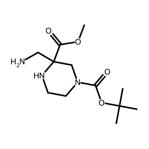 COC(=O)C1(CN)CN(C(=O)OC(C)(C)C)CCN1